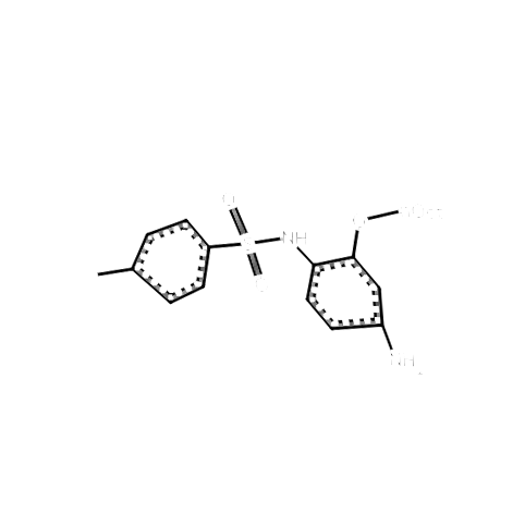 CCCCCCCCOc1cc(N)ccc1NS(=O)(=O)c1ccc(C)cc1